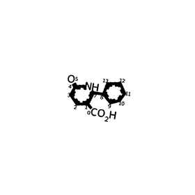 O=C(O)c1ccc(=O)[nH]c1-c1ccccc1